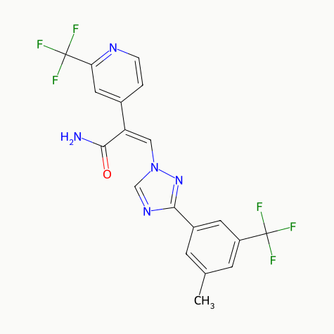 Cc1cc(-c2ncn(/C=C(\C(N)=O)c3ccnc(C(F)(F)F)c3)n2)cc(C(F)(F)F)c1